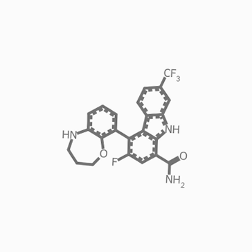 NC(=O)c1cc(F)c(-c2cccc3c2OCCCN3)c2c1[nH]c1cc(C(F)(F)F)ccc12